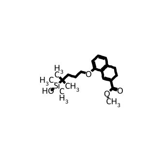 COC(=O)C1=Cc2c(cccc2OCCCC(C)(C)[Si](C)(C)O)CC1